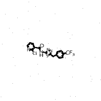 O=C(Nc1nnc(Cc2ccc(C(F)(F)F)cc2)s1)c1cccnc1Cl